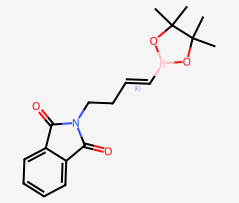 CC1(C)OB(/C=C/CCN2C(=O)c3ccccc3C2=O)OC1(C)C